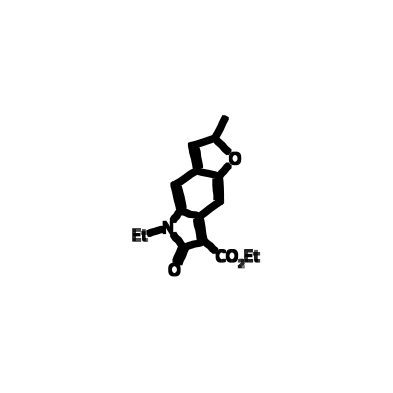 CCOC(=O)C1=c2cc3c(cc2N(CC)C1=O)=CC(C)O3